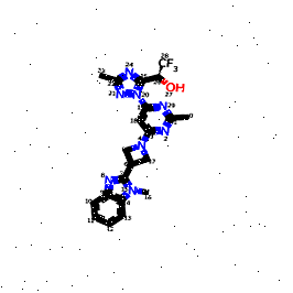 Cc1nc(N2CC(c3nc4ccccc4n3C)C2)cc(-n2nc(C)nc2[C@@H](O)C(F)(F)F)n1